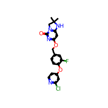 CC1(C)Cn2c(cc(OCc3ccc(Oc4ccnc(Cl)c4)c(F)c3)nc2=O)N1